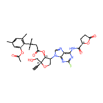 C#C[C@]1(CO)OCC(n2cnc3c(NC(=O)[C@H]4CCC(=O)O4)nc(F)nc32)[C@@H]1OC(=O)CC(C)(C)c1c(C)cc(C)cc1OC(C)=O